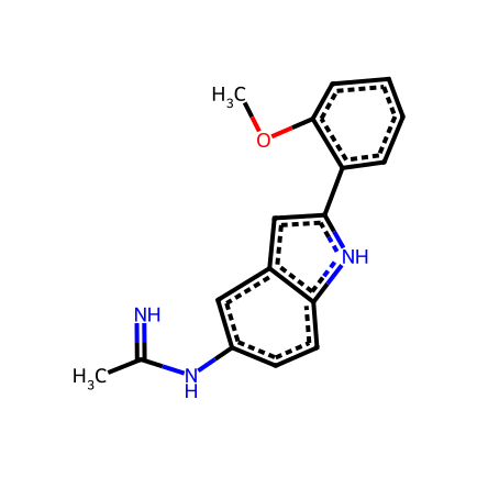 COc1ccccc1-c1cc2cc(NC(C)=N)ccc2[nH]1